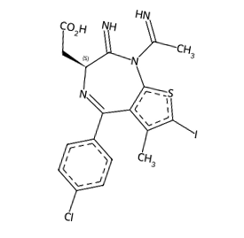 CC(=N)N1C(=N)[C@H](CC(=O)O)N=C(c2ccc(Cl)cc2)c2c1sc(I)c2C